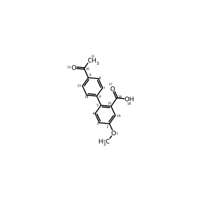 COc1ccc(-c2ccc(C(C)=O)cc2)c(C(=O)O)c1